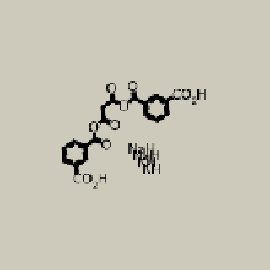 O=C(CC(=O)OC(=O)c1cccc(C(=O)O)c1)OC(=O)c1cccc(C(=O)O)c1.[KH].[KH].[NaH].[NaH]